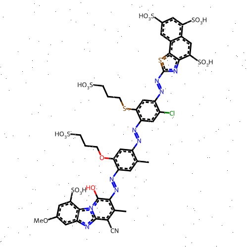 COc1cc(S(=O)(=O)O)c2c(c1)nc1c(C#N)c(C)c(N=Nc3cc(C)c(N=Nc4cc(Cl)c(N=Nc5nc6c(S(=O)(=O)O)cc7c(S(=O)(=O)O)cc(S(=O)(=O)O)cc7c6s5)cc4SCCCS(=O)(=O)O)cc3OCCCS(=O)(=O)O)c(O)n12